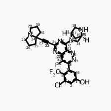 Oc1cc(Cl)c(C(F)(F)F)c(-c2nnc3c(N4C[C@H]5C[C@@H]4CN5)nc(C#CC45CCCN4CCC5)nc3c2F)c1